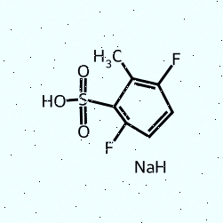 Cc1c(F)ccc(F)c1S(=O)(=O)O.[NaH]